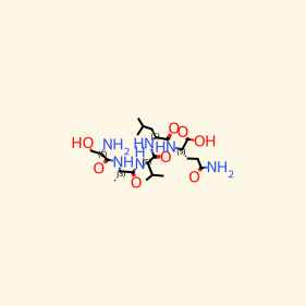 CC(C)C[C@H](NC(=O)[C@@H](NC(=O)[C@H](C)NC(=O)[C@@H](N)CO)C(C)C)C(=O)N[C@@H](CCC(N)=O)C(=O)O